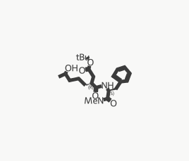 CNC(=O)[C@H](Cc1ccccc1)NC(=O)[C@H](CCCC(C)O)CC(=O)OC(C)(C)C